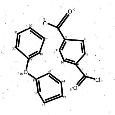 O=C(Cl)c1ccc(C(=O)Cl)cc1.c1ccc(Oc2ccccc2)cc1